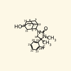 CN1C(=O)N(C2C3CC4CC2CC(O)(C4)C3)CC1(C)c1ccccc1F